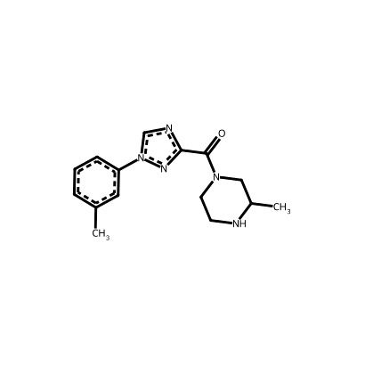 Cc1cccc(-n2cnc(C(=O)N3CCNC(C)C3)n2)c1